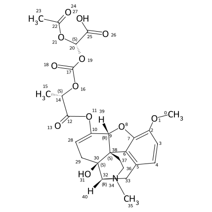 COc1ccc2c3c1O[C@H]1C(OC(=O)[C@H](C)OC(=O)O[C@H](OC(C)=O)C(=O)O)=CC[C@@]4(O)[C@@H](C2)N(C)CC[C@]314